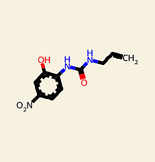 C=CCNC(=O)Nc1ccc([N+](=O)[O-])cc1O